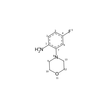 Nc1ccc(F)cc1N1CCOCC1